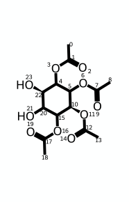 CC(=O)OC1C(OC(C)=O)[C@@H](OC(C)=O)C(OC(C)=O)C(O)[C@H]1O